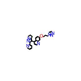 c1ccc(-c2nn3c(c2-c2ccnc4cc(OCCCn5ccnn5)ccc24)CCC3)nc1